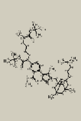 COC(=O)c1nc(N(CCCCN(C)C(=O)OC(C)(C)C)C(=O)OC(C)(C)C)ccc1-c1cnn(CC23CC4(C)CC(C)(C2)CC(OCCN(C)C)(C4)C3)c1C